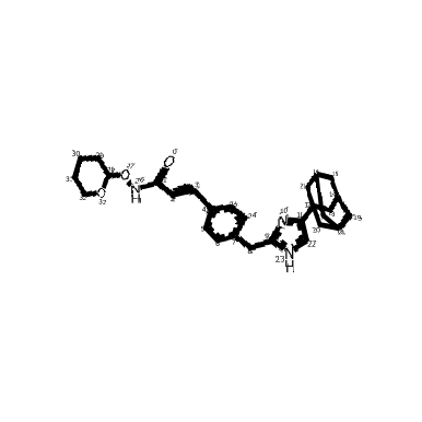 O=C(/C=C/c1ccc(Cc2nc(C34CC5CC(CC(C5)C3)C4)c[nH]2)cc1)NOC1CCCCO1